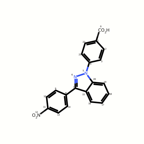 O=C(O)c1ccc(-n2nc(-c3ccc([N+](=O)[O-])cc3)c3ccccc32)cc1